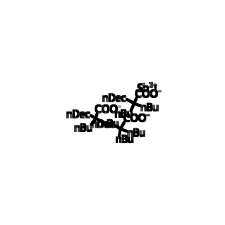 CCCCCCCCCCC(CCCC)(CCCC)C(=O)[O-].CCCCCCCCCCC(CCCC)(CCCC)C(=O)[O-].CCCCCCCCCCC(CCCC)(CCCC)C(=O)[O-].[Sb+3]